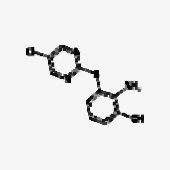 Nc1c(O)cccc1Sc1ncc(Cl)cn1